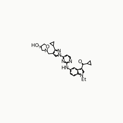 CCn1cc(C(=O)C2CC2)c2cc(Nc3nccc(-n4cc(CN5C[C@H](O)CO5)c(C5CC5)n4)n3)ccc21